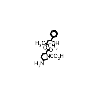 CC(C)(CC(O)c1ccccc1)OC(=O)C1CCC(N)CN1C(=O)O